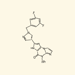 CCCn1c(=O)c2[nH]c(-c3cnn(Cc4cc(F)cc(F)c4)c3)nc2n2ccnc12